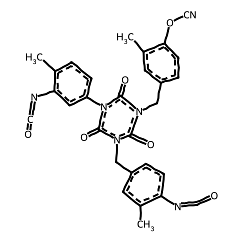 Cc1cc(Cn2c(=O)n(Cc3ccc(OC#N)c(C)c3)c(=O)n(-c3ccc(C)c(N=C=O)c3)c2=O)ccc1N=C=O